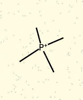 C[P+](C)(C)C